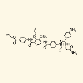 C=CCOC(=O)c1ccc(NC(=O)c2ccc(NC(=O)c3ccc(NC(=O)[C@H](CC(N)=O)NC(=O)c4ccc(N)cc4)cc3)c(OCC(C)C)c2OCC=C)cc1